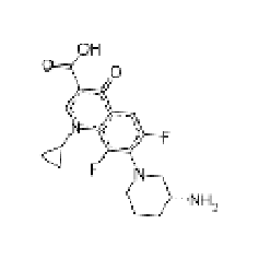 N[C@@H]1CCCN(c2c(F)cc3c(=O)c(C(=O)O)cn(C4CC4)c3c2F)C1